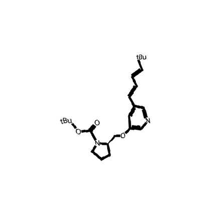 CC(C)(C)/C=C/C=C/c1cncc(OC[C@H]2CCCN2C(=O)OC(C)(C)C)c1